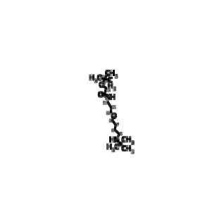 CC(C)(C)NCCCCOCCCNC(=O)COC(C)(C)C